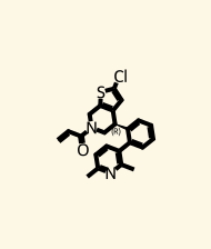 C=CC(=O)N1Cc2sc(Cl)cc2[C@@H](c2ccccc2-c2ccc(C)nc2C)C1